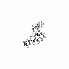 CC1(O[Si](C)(C)C(C)(C)C)CCC(n2cc(C(=O)Nc3ccncc3)c(=O)c3cccnc32)CC1